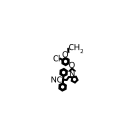 C=CCOc1cc(OC2CN(C3(CCC(C#N)(c4ccccc4)c4ccccc4)CCCC3)C2)ccc1Cl